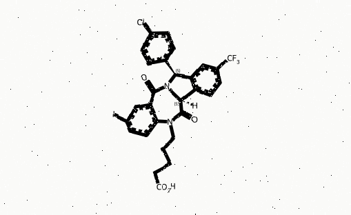 O=C(O)CCCCN1C(=O)[C@@H]2c3ccc(C(F)(F)F)cc3[C@H](c3ccc(Cl)cc3)N2C(=O)c2cc(I)ccc21